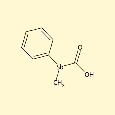 [CH3][Sb]([C](=O)O)[c]1ccccc1